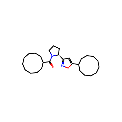 O=C(C1CCCCCCCCC1)N1CCC[C@H]1c1cc(C2CCCCCCCCC2)on1